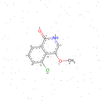 COc1c[nH]c(=O)c2cccc(Cl)c12